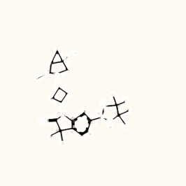 C[C@H]1C2C[C@@H]2CN1[C@H]1C[C@@H](N2C(=O)C(C)(C)c3ccc(B4OC(C)(C)C(C)(C)O4)cc32)C1